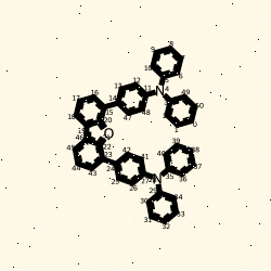 c1ccc(N(c2ccccc2)c2ccc(-c3cccc4c3oc3c(-c5ccc(N(c6ccccc6)c6ccccc6)cc5)cccc34)cc2)cc1